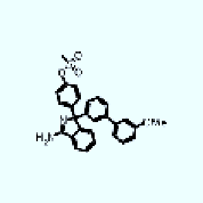 COc1cccc(-c2cccc(C3(c4ccc(OS(C)(=O)=O)cc4)N=C(N)c4ccccc43)c2)c1